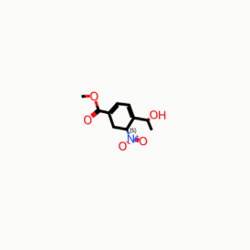 COC(=O)C1=CC=C(C(C)O)[C@@H]([N+](=O)[O-])C1